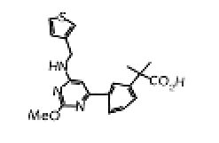 COc1nc(NCc2ccsc2)cc(-c2cccc(C(C)(C)C(=O)O)c2)n1